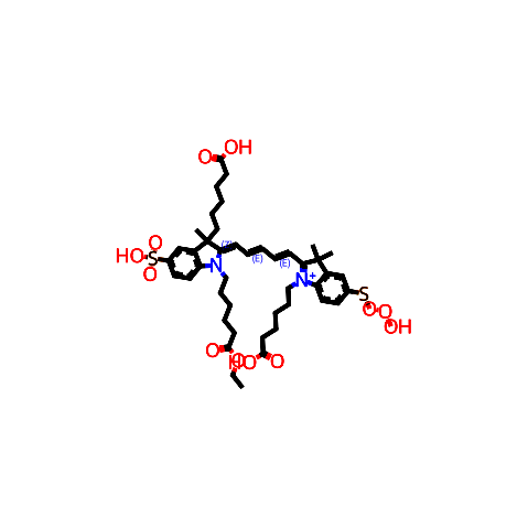 CCOC(=O)CCCCCN1\C(=C/C=C/C=C/C2=[N+](CCCCCC(=O)O)c3ccc(SOOO)cc3C2(C)C)C(C)(CCCCCC(=O)O)c2cc(S(=O)(=O)O)ccc21